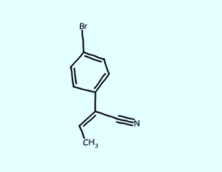 CC=C(C#N)c1ccc(Br)cc1